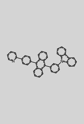 c1ccc(-c2ccc(-c3c4ccccc4c(-c4cccc(-n5c6ccccc6c6ccccc65)c4)c4ccccc34)cc2)nc1